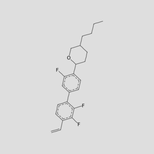 C=Cc1ccc(-c2ccc(C3CCC(CCCC)CO3)c(F)c2)c(F)c1F